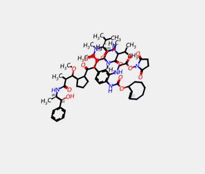 CC[C@H](C)C(C(CC(=O)C1CCCC1C(OC)C(C)C(=O)N[C@H](C)[C@@H](O)c1ccccc1)OC)N(C)C(=O)C(NC(=O)[C@H](C(C)C)N(C)C(=O)OCc1ccc(NC(=O)OC2/C=C/CCCCC2)c(NCC(=O)ON2C(=O)CCC2=O)c1)C(C)C